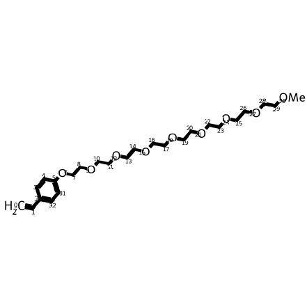 C=Cc1ccc(OCCOCCOCCOCCOCCOCCOCCOCCOC)cc1